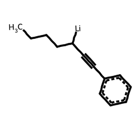 [Li][CH](C#Cc1ccccc1)CCCC